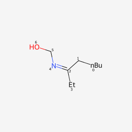 CCCCC/C(CC)=N\CO